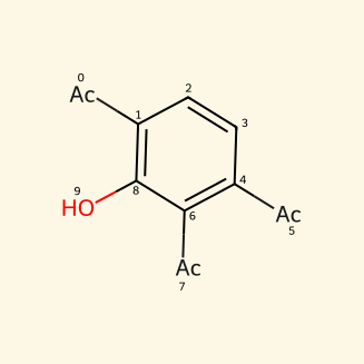 CC(=O)c1ccc(C(C)=O)c(C(C)=O)c1O